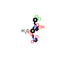 COc1cc(CN(CCc2ccc(Cl)c(Cl)c2)C2(C(=O)O)CCC2)ccc1OCCN1C(=O)CCC1=O